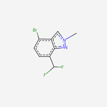 Cn1cc2c(Br)ccc(C(F)F)c2n1